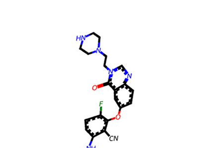 N#Cc1c(N)ccc(F)c1Oc1ccc2ncn(CCN3CCNCC3)c(=O)c2c1